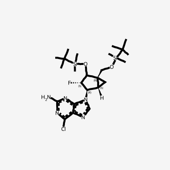 CC(C)(C)[Si](C)(C)OC[C@@]12C[C@@H]1[C@@H](n1cnc3c(Cl)nc(N)nc31)[C@H](F)C2O[Si](C)(C)C(C)(C)C